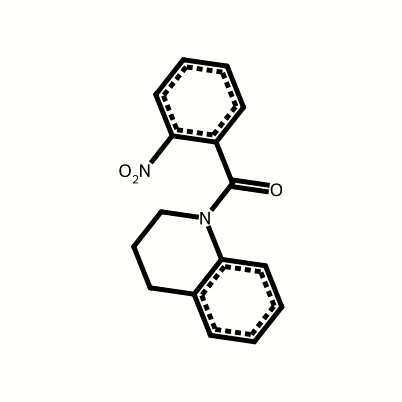 O=C(c1ccccc1[N+](=O)[O-])N1CCCc2ccccc21